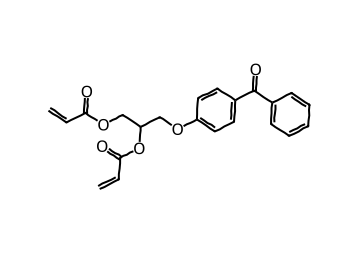 C=CC(=O)OCC(COc1ccc(C(=O)c2ccccc2)cc1)OC(=O)C=C